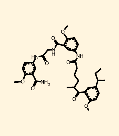 CCC(C)c1ccc(OC)c(C(=O)C(C)CCCC(=O)Nc2ccc(OC)c(C(=O)NCC(=O)Nc3ccc(OC)c(C(N)=O)c3)c2)c1